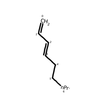 C=C/C=C/CC[CH]CC